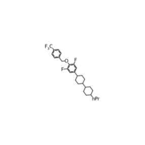 CCCC1CCC(C2CCC(c3cc(F)c(OCc4ccc(C(F)(F)F)cc4)c(F)c3)CC2)CC1